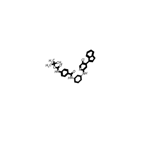 CC(C)(C)OC(=O)Nc1ccc(C(=O)N[C@H]2CCC[C@@H](Nc3cc(C4=CCc5ccccc54)c(Cl)cn3)C2)cc1